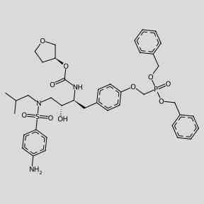 CC(C)CN(C[C@@H](O)[C@H](Cc1ccc(OCP(=O)(OCc2ccccc2)OCc2ccccc2)cc1)NC(=O)O[C@H]1CCOC1)S(=O)(=O)c1ccc(N)cc1